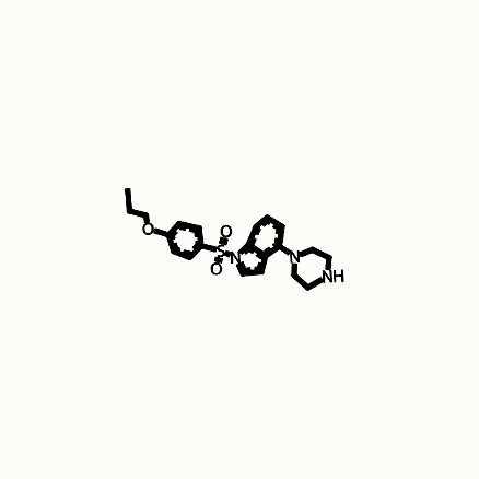 CCCOc1ccc(S(=O)(=O)n2ccc3c(N4CCNCC4)cccc32)cc1